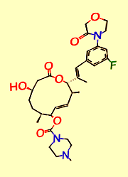 C/C(=C\c1cc(F)cc(N2CCOCC2=O)c1)[C@H]1OC(=O)C[C@H](O)CC[C@H](C)[C@H](OC(=O)N2CCN(C)CC2)/C=C/[C@@H]1C